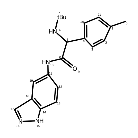 Cc1ccc(C(NC(C)(C)C)C(=O)Nc2ccc3[nH]ncc3c2)cc1